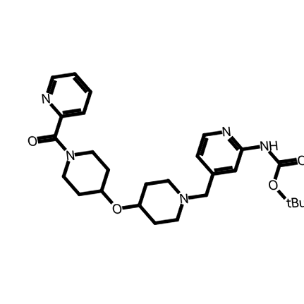 CC(C)(C)OC(=O)Nc1cc(CN2CCC(OC3CCN(C(=O)c4ccccn4)CC3)CC2)ccn1